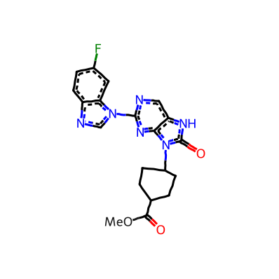 COC(=O)C1CCC(n2c(=O)[nH]c3cnc(-n4cnc5ccc(F)cc54)nc32)CC1